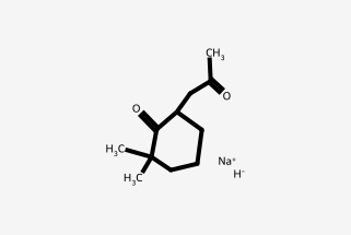 CC(=O)CC1CCCC(C)(C)C1=O.[H-].[Na+]